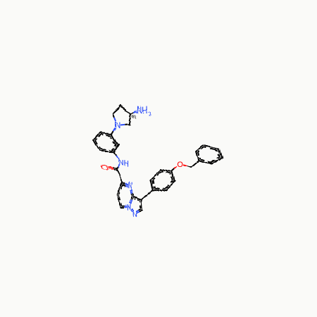 N[C@@H]1CCN(c2cccc(NC(=O)c3ccn4ncc(-c5ccc(OCc6ccccc6)cc5)c4n3)c2)C1